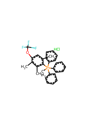 Cc1cc(OC(F)(F)F)c(C)c(C)c1P(C)(c1ccccc1)(c1ccccc1)c1ccccc1.Cl